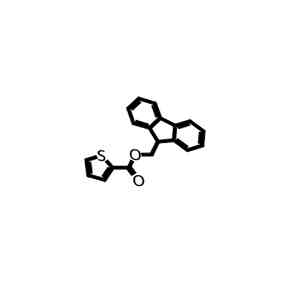 O=C(OCC1c2ccccc2-c2ccccc21)c1cccs1